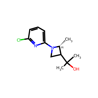 C[C@@H]1C(C(C)(C)O)CN1c1cccc(Cl)n1